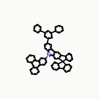 c1ccc(-c2cc(-c3ccccc3)cc(-c3ccc4c(c3)c3cc5c(cc3n4-c3ccc4c6ccccc6c6ccccc6c4c3)C3(c4ccccc4-c4ccccc43)c3ccccc3-5)c2)cc1